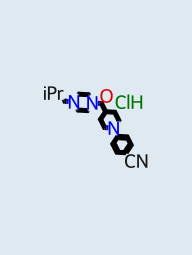 CC(C)CN1CCN(C(=O)C2CCN(c3ccc(C#N)cc3)CC2)CC1.Cl